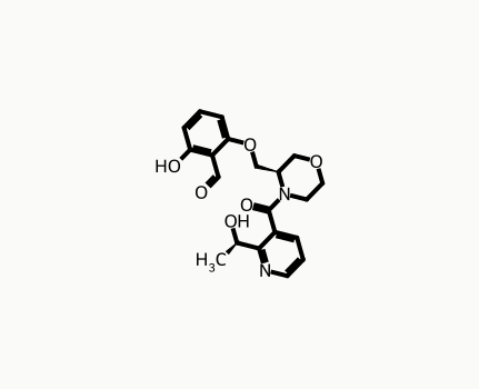 C[C@@H](O)c1ncccc1C(=O)N1CCOC[C@@H]1COc1cccc(O)c1C=O